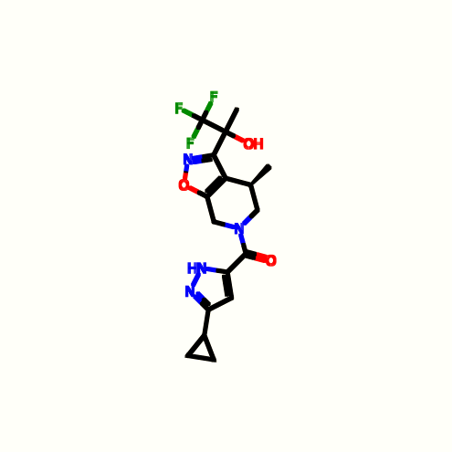 C[C@H]1CN(C(=O)c2cc(C3CC3)n[nH]2)Cc2onc(C(C)(O)C(F)(F)F)c21